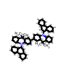 CC1(C)c2ccccc2N(c2cc3ccccc3c3ccccc23)c2ccc(-c3ccc4c(c3)C(C)(C)c3ccccc3N4c3cc4ccccc4c4ccccc34)cc21